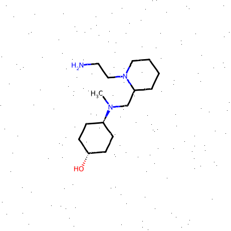 CN(CC1CCCCN1CCN)[C@H]1CC[C@H](O)CC1